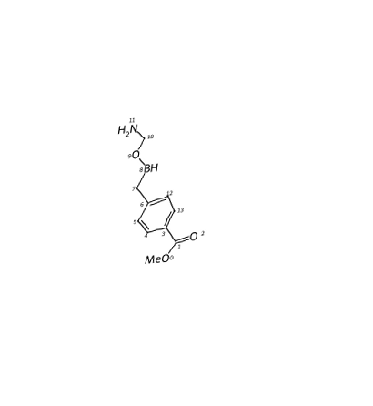 COC(=O)c1ccc(CBOCN)cc1